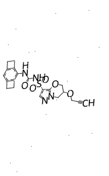 C#CCOC1COc2c(S(=O)(=O)NC(=O)Nc3c4c(cc5c3CC5)CC4)cnn2C1